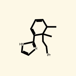 CC(C)CCC1(C)C(c2ncc[nH]2)=CC=CC1C